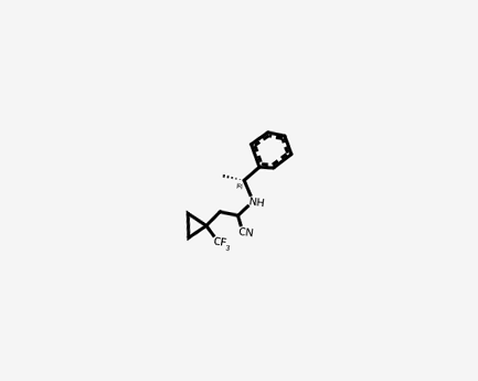 C[C@@H](NC(C#N)CC1(C(F)(F)F)CC1)c1ccccc1